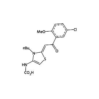 CCCCN1C(NC(=O)O)=CSC1=CC(=O)c1cc(Cl)ccc1OC